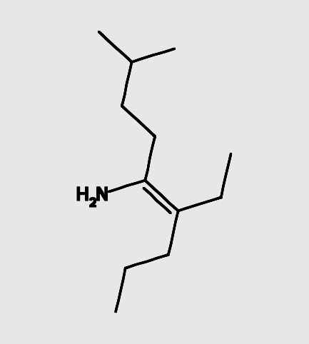 CCCC(CC)=C(N)CCC(C)C